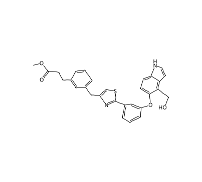 COC(=O)CCc1cccc(Cc2csc(-c3cccc(Oc4ccc5[nH]ccc5c4CO)c3)n2)c1